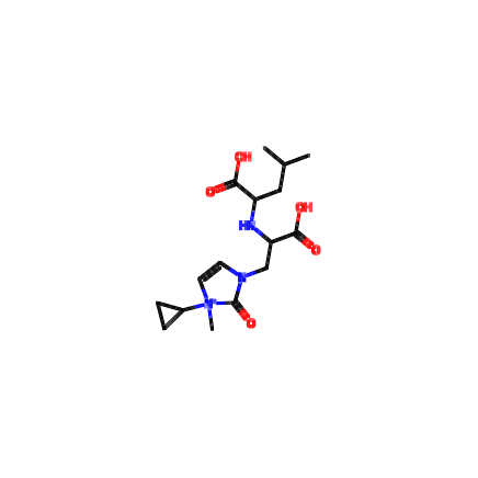 CC(C)CC(NC(CN1C=C[N+](C)(C2CC2)C1=O)C(=O)O)C(=O)O